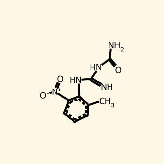 Cc1cccc([N+](=O)[O-])c1NC(=N)NC(N)=O